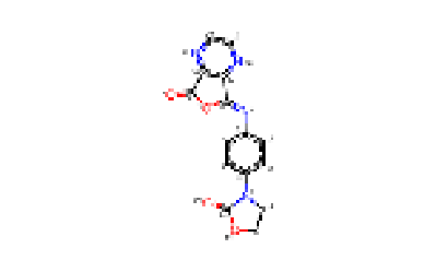 O=C1OC(=Nc2ccc(N3CCOC3=O)cc2)c2nccnc21